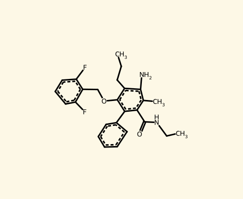 CCCc1c(N)c(C)c(C(=O)NCC)c(-c2ccccc2)c1OCc1c(F)cccc1F